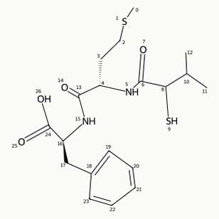 CSCC[C@H](NC(=O)C(S)C(C)C)C(=O)N[C@@H](Cc1ccccc1)C(=O)O